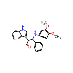 COc1ccc(NC(c2ccccc2)C(C=O)c2c[nH]c3ccccc23)cc1OC